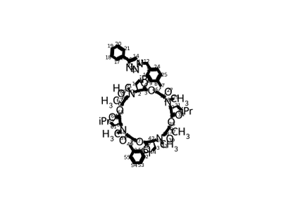 CC(C)C[C@H]1C(=O)O[C@H](Cc2ccc(Cn3cc(-c4ccccc4)nn3)cc2)C(=O)N(C)[C@@H](CC(C)C)C(=O)O[C@H](C)C(=O)N(C)[C@@H](CC(C)C)C(=O)O[C@H](Cc2ccccc2)C(=O)N(C)[C@@H](CC(C)C)C(=O)O[C@H](C)C(=O)N1C